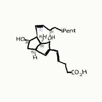 CCCC(C)C[C@H](O)/C=C\[C@H]1[C@H]2CC(C=CCCC(=O)O)=C[C@H]2C[C@H]1O